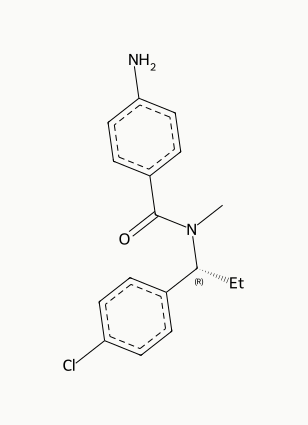 CC[C@H](c1ccc(Cl)cc1)N(C)C(=O)c1ccc(N)cc1